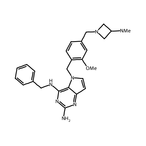 CNC1CN(Cc2ccc(Cn3ccc4nc(N)nc(NCc5ccccc5)c43)c(OC)c2)C1